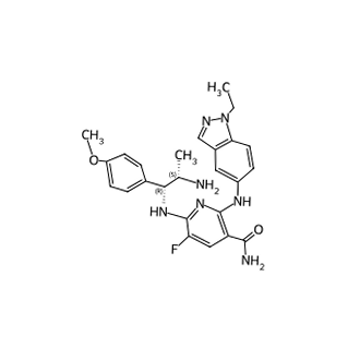 CCn1ncc2cc(Nc3nc(N[C@H](c4ccc(OC)cc4)[C@H](C)N)c(F)cc3C(N)=O)ccc21